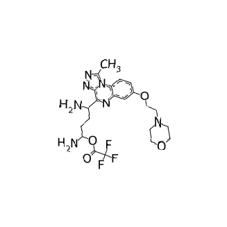 Cc1nnc2c(C(N)CCC(N)OC(=O)C(F)(F)F)nc3cc(OCCN4CCOCC4)ccc3n12